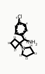 NC(c1ccc(Cl)cc1)C1(N2CCCC2)CCC1